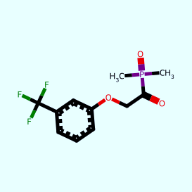 CP(C)(=O)C(=O)COc1cccc(C(F)(F)F)c1